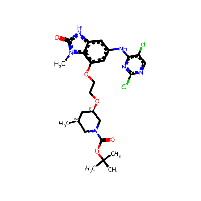 C[C@H]1C[C@@H](OCCOc2cc(Nc3nc(Cl)ncc3Cl)cc3[nH]c(=O)n(C)c23)CN(C(=O)OC(C)(C)C)C1